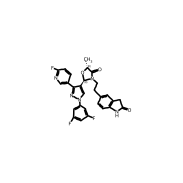 C[C@H]1O[C@H](c2cn(-c3cc(F)cc(F)c3)nc2-c2ccc(F)nc2)N(CCc2ccc3c(c2)CC(=O)N3)C1=O